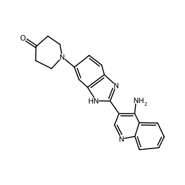 Nc1c(-c2nc3ccc(N4CCC(=O)CC4)cc3[nH]2)cnc2ccccc12